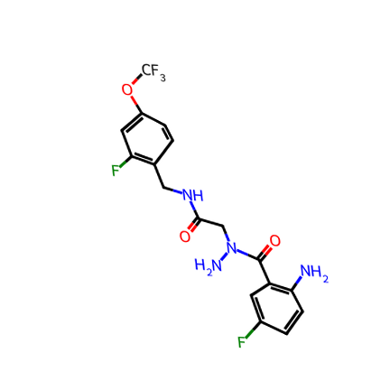 Nc1ccc(F)cc1C(=O)N(N)CC(=O)NCc1ccc(OC(F)(F)F)cc1F